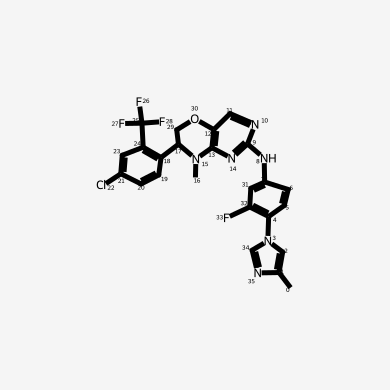 Cc1cn(-c2ccc(Nc3ncc4c(n3)N(C)C(c3ccc(Cl)cc3C(F)(F)F)CO4)cc2F)cn1